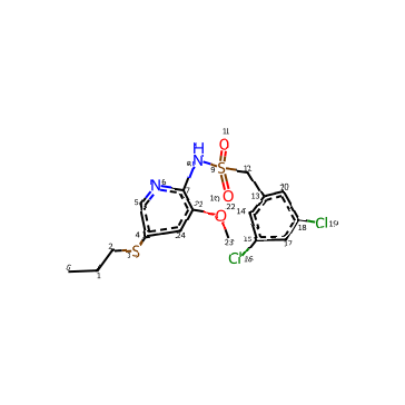 CCCSc1cnc(NS(=O)(=O)Cc2cc(Cl)cc(Cl)c2)c(OC)c1